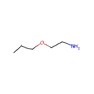 C[CH]COCCN